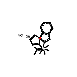 C[C](C)=[Zr]([CH3])([CH3])([CH3])([CH3])([C]1=CC=CC1)[c]1cc2ccccc2[nH]1.Cl.Cl